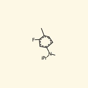 Cc1ccc(N(C)C(C)C)cc1F